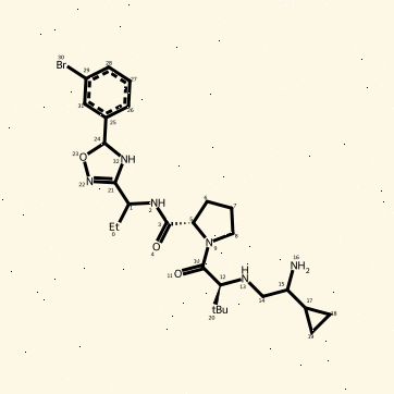 CCC(NC(=O)[C@@H]1CCCN1C(=O)[C@@H](NCC(N)C1CC1)C(C)(C)C)C1=NOC(c2cccc(Br)c2)N1